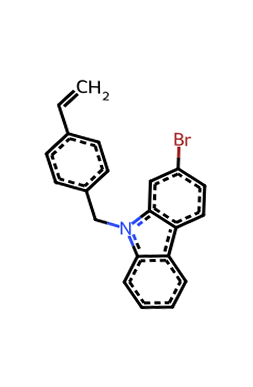 C=Cc1ccc(Cn2c3ccccc3c3ccc(Br)cc32)cc1